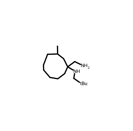 CC1CCCCCCC(CN)(NCC(C)(C)C)C1